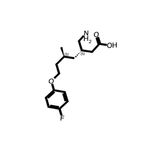 C[C@H](CCOc1ccc(F)cc1)C[C@H](CN)CC(=O)O